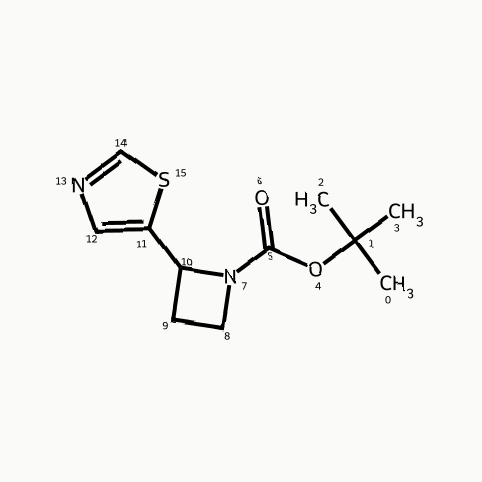 CC(C)(C)OC(=O)N1CCC1c1cncs1